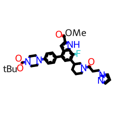 COC(=O)c1cc2c(-c3ccc(N4CCN(C(=O)OC(C)(C)C)CC4)cc3)cc(C3CCCN(C(=O)CCn4cccn4)C3)c(F)c2[nH]1